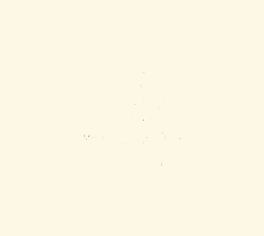 COc1ccc(C2(C(=O)OC3CC3)OC23CCCCC3)cc1